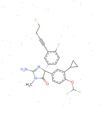 CN1C(=O)[C@](c2ccc(F)c(C#CCCF)c2)(c2ccc(OC(F)F)c(C3CC3)c2)N=C1N